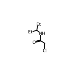 CCC(CC)NC(=O)CCl